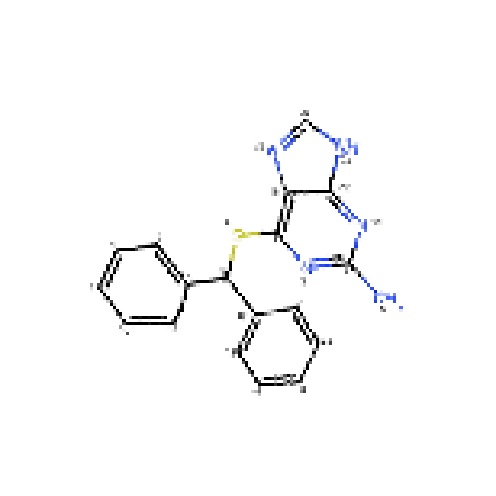 Nc1nc(SC(c2ccccc2)c2ccccc2)c2nc[nH]c2n1